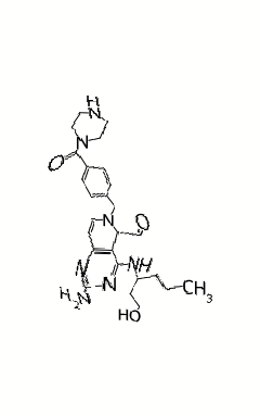 CCCC(CCO)Nc1nc(N)nc2c1C(C=O)N(Cc1ccc(C(=O)N3CCNCC3)cc1)C=C2